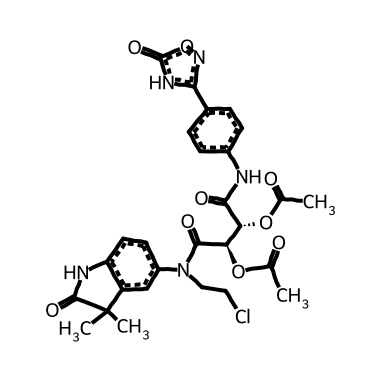 CC(=O)O[C@@H](C(=O)Nc1ccc(-c2noc(=O)[nH]2)cc1)[C@@H](OC(C)=O)C(=O)N(CCCl)c1ccc2c(c1)C(C)(C)C(=O)N2